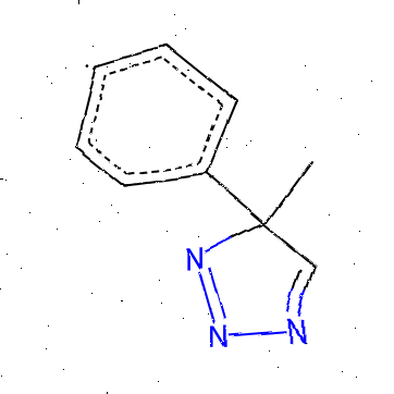 CC1(c2cc[c]cc2)C=NN=N1